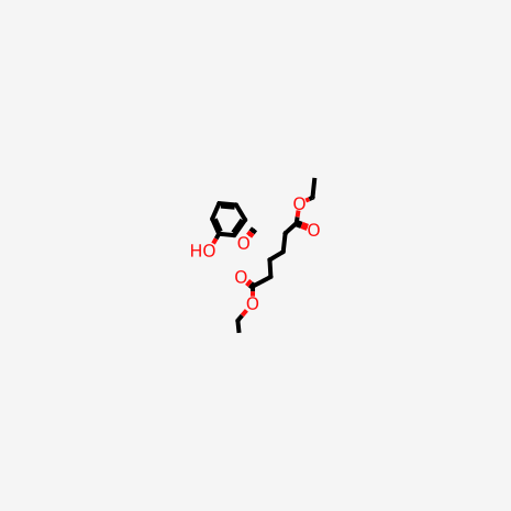 C=O.CCOC(=O)CCCCC(=O)OCC.Oc1ccccc1